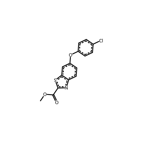 COC(=O)c1nc2ccc(Oc3ccc(Cl)cc3)cc2s1